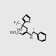 CCOC(=O)/C=C(\C[C@@](O)(c1cccs1)C(F)(F)F)N[C@H](C)c1ccccc1